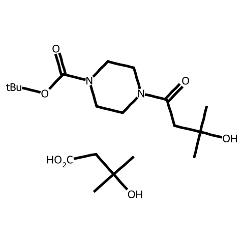 CC(C)(O)CC(=O)N1CCN(C(=O)OC(C)(C)C)CC1.CC(C)(O)CC(=O)O